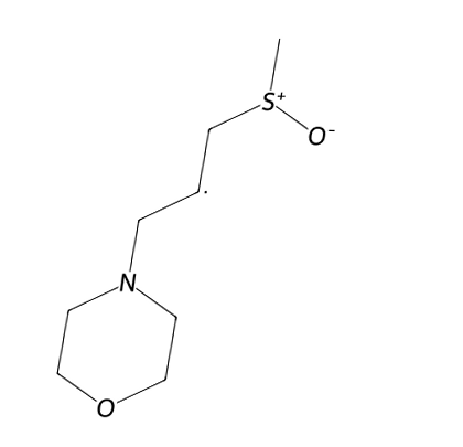 C[S+]([O-])C[CH]CN1CCOCC1